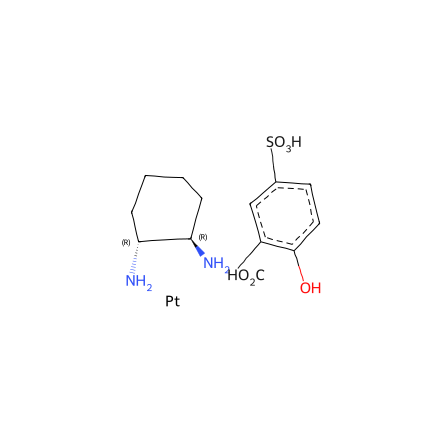 N[C@@H]1CCCC[C@H]1N.O=C(O)c1cc(S(=O)(=O)O)ccc1O.[Pt]